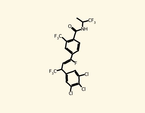 CC(NC(=O)c1ccc(C(F)=CC(c2cc(Cl)c(Cl)c(Cl)c2)C(F)(F)F)cc1C(F)(F)F)C(F)(F)F